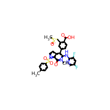 Cc1ccc(S(=O)(=O)n2ccc3c(-c4ccc(C(=O)O)c(C[S+](C)[O-])c4)c(Nc4ncc(F)cc4F)n(C)c(=O)c32)cc1